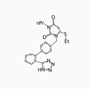 CCCn1c(=O)cc(SCC)n(Cc2ccc(-c3ccccc3-c3nnn[nH]3)cc2)c1=O